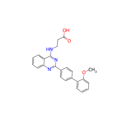 COc1ccccc1-c1ccc(-c2nc(NCCC(=O)O)c3ccccc3n2)cc1